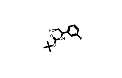 CC(C)(C)OC(=O)NC(CO)c1cccc(F)c1